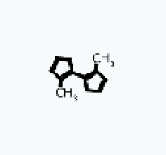 CC1=C(C2=C(C)C=CC2)CC=C1